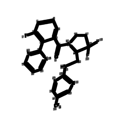 O=C(c1cccc(F)c1-c1ncccn1)N1CCC(F)(F)C1CNc1ncc(C(F)(F)F)cn1